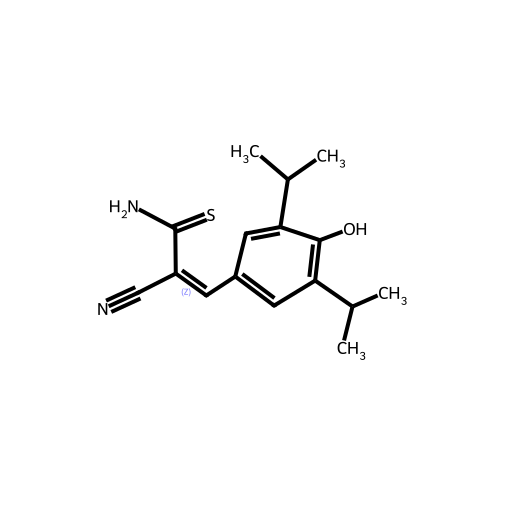 CC(C)c1cc(/C=C(/C#N)C(N)=S)cc(C(C)C)c1O